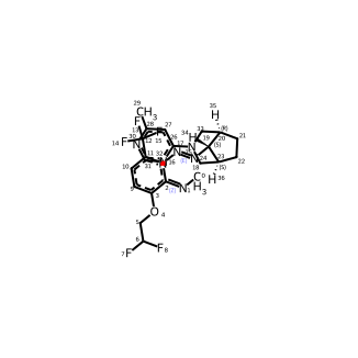 C/N=c1/c(OCC(F)F)ccc(C(F)(F)F)n1/N=N/[C@@H]1[C@@H]2CC[C@H]1CN(c1cc(C)ncn1)C2